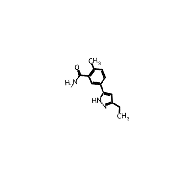 CCc1cc(-c2ccc(C)c(C(N)=O)c2)[nH]n1